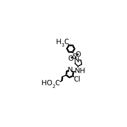 Cc1ccc(S(=O)(=O)N2CC[C@@H](Nc3ncc(/C=C/C(=O)O)cc3Cl)C2)cc1